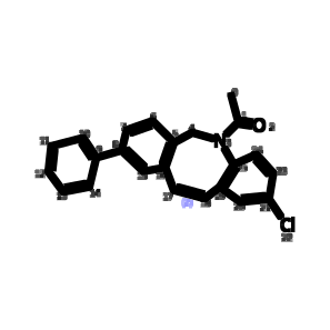 CC(=O)N1Cc2ccc(-c3ccccc3)cc2/C=C\c2cc(Cl)ccc21